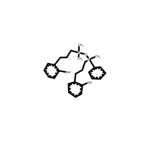 C[Si](C)(CCCc1ccccc1O)O[Si](C)(CCCc1ccccc1O)c1ccccc1